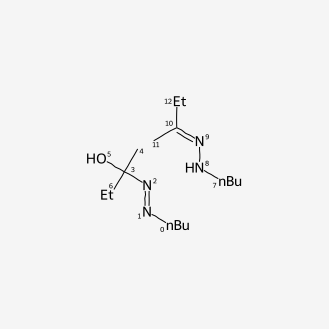 CCCCN=NC(C)(O)CC.CCCCNN=C(C)CC